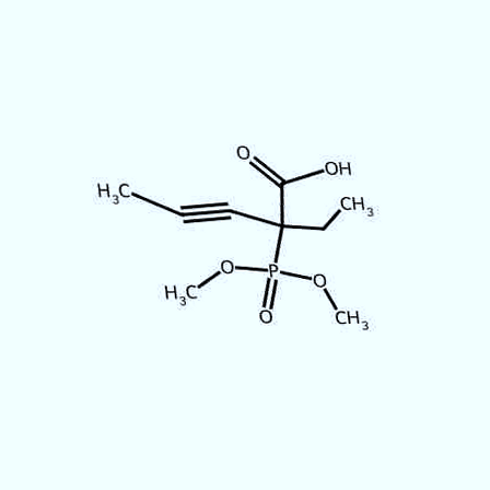 CC#CC(CC)(C(=O)O)P(=O)(OC)OC